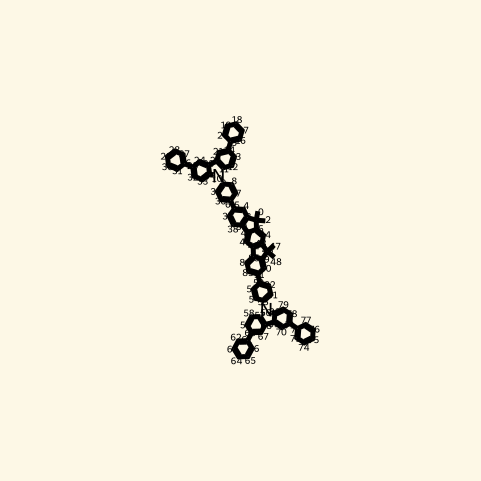 CC1(C)c2cc(-c3ccc(-n4c5ccc(-c6ccccc6)cc5c5cc(-c6ccccc6)ccc54)cc3)ccc2-c2cc3c(cc21)C(C)(C)c1cc(-c2ccc(-n4c5ccc(-c6ccccc6)cc5c5cc(-c6ccccc6)ccc54)cc2)ccc1-3